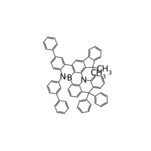 CC1(C)c2ccccc2-c2cc3c4c(c21)N1c2ccccc2C(c2ccccc2)(c2ccccc2)c2cccc(c21)B4N(c1cccc(-c2ccccc2)c1)c1ccc(-c2ccccc2)cc1-3